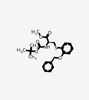 COC(=O)[C@@H](CSc1ccccc1OCc1ccccc1)NC(=O)OC(C)(C)C